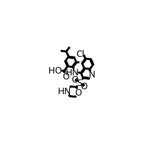 Cc1cc(C(C)C)cc(C(=O)O)c1Nc1c(S(=O)(=O)C2CNCCO2)cnc2ccc(Cl)cc12